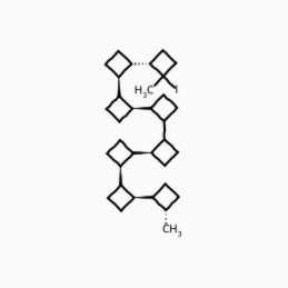 C[C@H]1CCC1[C@H]1CCC1[C@H]1CCC1[C@@H]1CCC1C1CCC1[C@H]1CCC1[C@H]1CCC1[C@@H]1CCC1(C)I